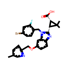 Cc1ccc(COc2ccc3nc([C@@H]4[C@H](C(=O)O)C4(C)C)n(Cc4ccc(Br)cc4F)c3c2)nc1